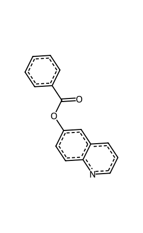 O=C(Oc1ccc2ncccc2c1)c1ccccc1